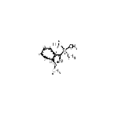 Cn1n[c]([Sn]([CH3])([CH3])[CH3])c2ccccc21